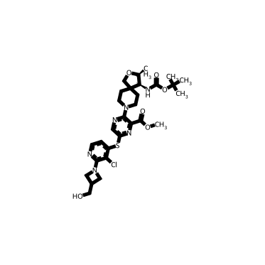 COC(=O)c1nc(Sc2ccnc(N3CC(CO)C3)c2Cl)cnc1N1CCC2(CC1)CO[C@@H](C)[C@H]2NC(=O)OC(C)(C)C